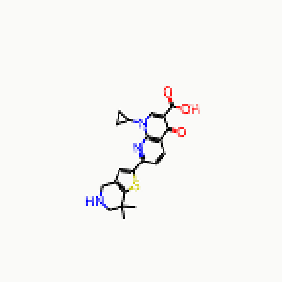 CC1(C)CNCc2cc(-c3ccc4c(=O)c(C(=O)O)cn(C5CC5)c4n3)sc21